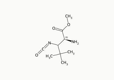 COC(=O)[C@@H](N)C(N=C=O)C(C)(C)C